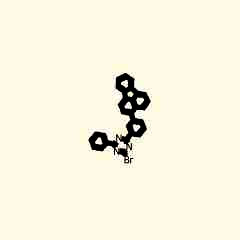 Brc1nc(-c2ccccc2)nc(-c2cccc(-c3ccc4c5c(cccc35)-c3ccccc3-4)c2)n1